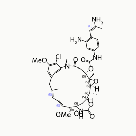 COc1cc2cc(c1Cl)N(C)C(=O)C[C@H](OC(=O)Nc1ccc(/C=C(\C)N)c(N)c1)[C@]1(C)O[C@H]1[C@H](C)[C@@H]1C[C@@](O)(NC(=O)O1)[C@H](OC)/C=C/C=C(\C)C2